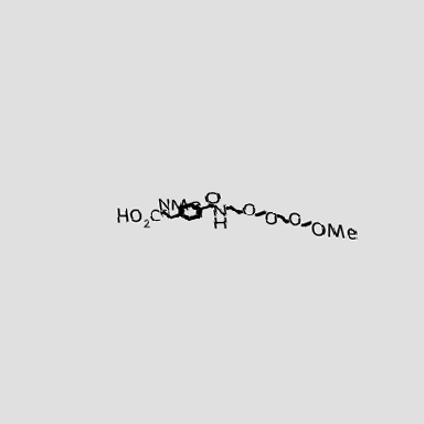 CN[C@@H](Cc1ccc(C(=O)NCCOCCOCCOCCOC)cc1)C(=O)O